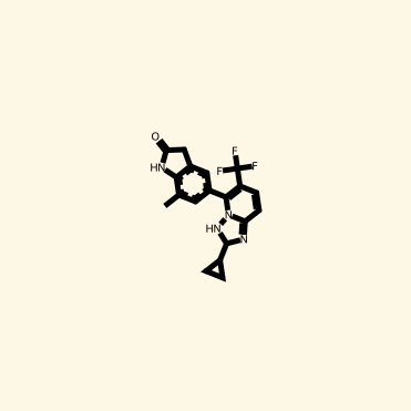 Cc1cc(C2=C(C(F)(F)F)C=CC3=NC(C4CC4)NN32)cc2c1NC(=O)C2